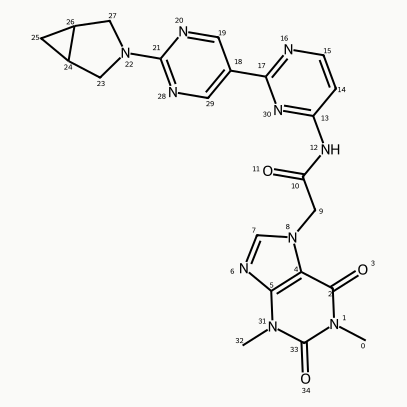 Cn1c(=O)c2c(ncn2CC(=O)Nc2ccnc(-c3cnc(N4CC5CC5C4)nc3)n2)n(C)c1=O